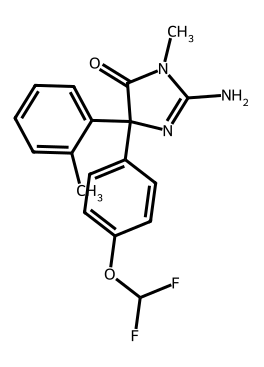 Cc1ccccc1C1(c2ccc(OC(F)F)cc2)N=C(N)N(C)C1=O